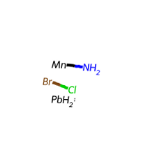 ClBr.[NH2][Mn].[PbH2]